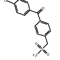 O=C(c1ccc(Cl)cc1)c1ccc(CS(=O)(=O)C(F)(F)F)cc1